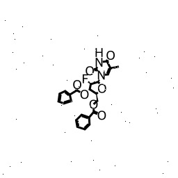 Cc1cn([C@H]2O[C@@H](COC(=O)c3ccccc3)[C@H](OC(=O)c3ccccc3)[C@H]2F)c(=O)[nH]c1=O